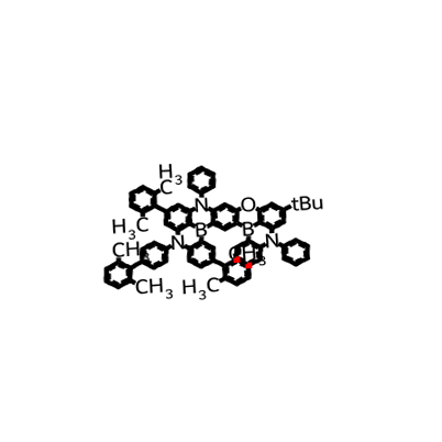 Cc1cccc(C)c1-c1ccc(N2c3ccc(-c4c(C)cccc4C)cc3B3c4cc5c(cc4N(c4ccccc4)c4cc(-c6c(C)cccc6C)cc2c43)Oc2cc(C(C)(C)C)cc3c2B5c2ccccc2N3c2ccccc2)cc1